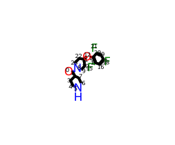 O=C(C1CCNCC1)N1CCC(Oc2c(F)cc(F)cc2F)CC1